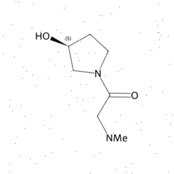 CNCC(=O)N1CC[C@H](O)C1